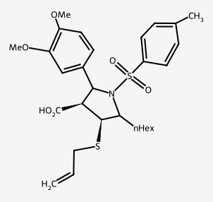 C=CCS[C@@H]1C(CCCCCC)N(S(=O)(=O)c2ccc(C)cc2)C(c2ccc(OC)c(OC)c2)[C@@H]1C(=O)O